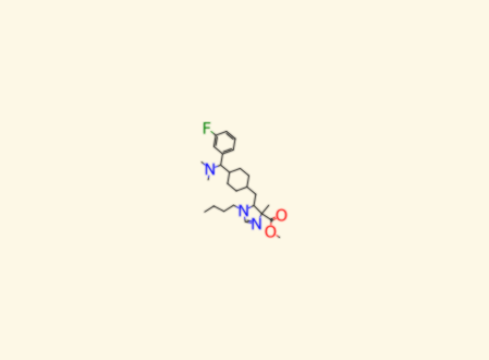 CCCCN1C=NC(C)(C(=O)OC)C1CC1CCC(C(c2cccc(F)c2)N(C)C)CC1